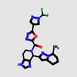 Cc1cccc2cc(C3c4nc[nH]c4CCN3C(=O)c3nnc(-c4cnn(C(F)F)c4)o3)nn12